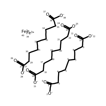 O=C([O-])CCCCCCCC(=O)[O-].O=C([O-])CCCCCCCC(=O)[O-].O=C([O-])CCCCCCCC(=O)[O-].[Fe+3].[Fe+3]